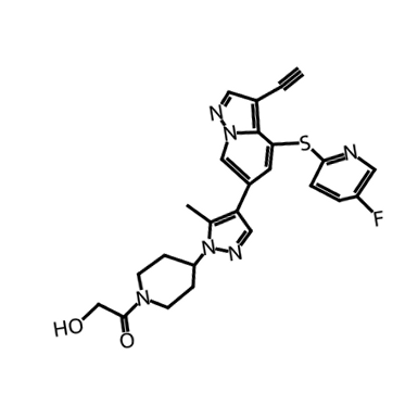 C#Cc1cnn2cc(-c3cnn(C4CCN(C(=O)CO)CC4)c3C)cc(Sc3ccc(F)cn3)c12